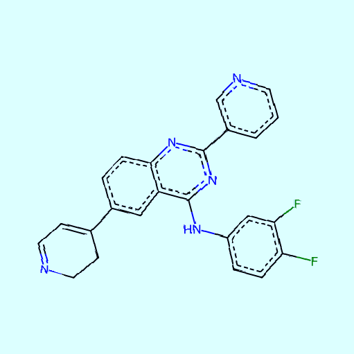 Fc1ccc(Nc2nc(-c3cccnc3)nc3ccc(C4=CC=NCC4)cc23)cc1F